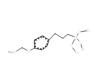 CCO[Si](CCCc1ccc(OCOC)cc1)(OCC)OCC